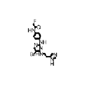 O=C(CF)Nc1ccc(Nc2ncc(Br)c(NCCc3cnc[nH]3)n2)cc1